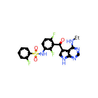 CCNc1ncnc2[nH]cc(C(=O)c3c(F)ccc(NS(=O)(=O)c4ccccc4F)c3F)c12